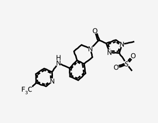 Cn1cc(C(=O)N2CCc3c(cccc3Nc3ccc(C(F)(F)F)cn3)C2)nc1S(C)(=O)=O